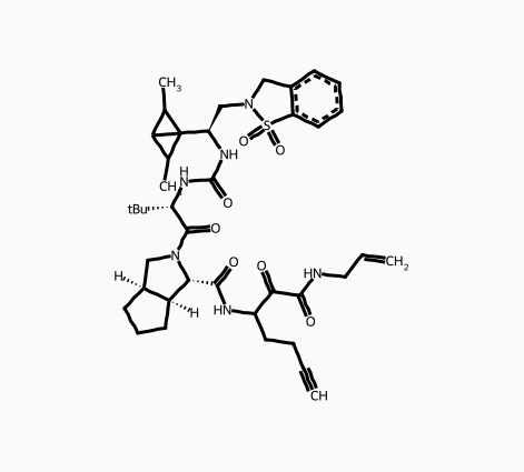 C#CCCC(NC(=O)[C@@H]1[C@H]2CCC[C@H]2CN1C(=O)[C@@H](NC(=O)N[C@H](CN1Cc2ccccc2S1(=O)=O)C12C(C)C1C2C)C(C)(C)C)C(=O)C(=O)NCC=C